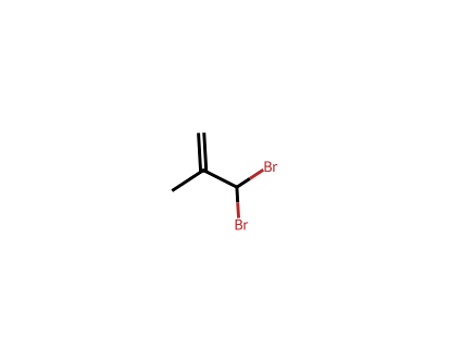 C=C(C)C(Br)Br